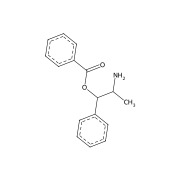 CC(N)C(OC(=O)c1ccccc1)c1ccccc1